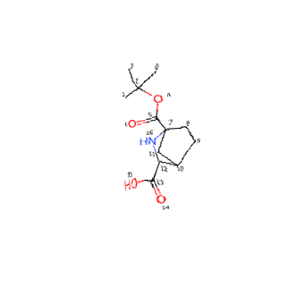 CC(C)(C)OC(=O)C12CCC(C1)C(C(=O)O)N2